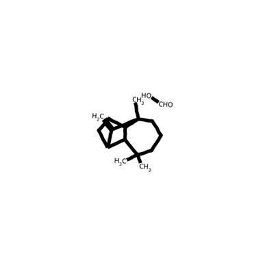 C=C1C2CCC3C2C(C)(C)CCCC13C.O=CO